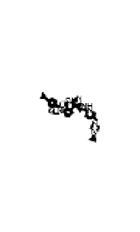 O=C1c2ccc(C3CC3)cc2OCCN1c1cccc(-c2ccnc3[nH]c(-c4ccc(CN5CCN(C6CC6)CC5)cn4)cc23)c1CO